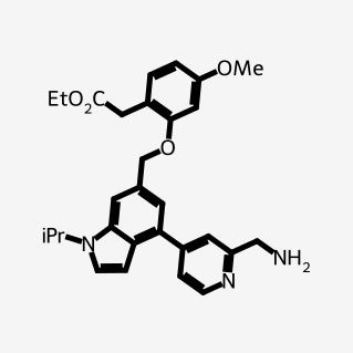 CCOC(=O)Cc1ccc(OC)cc1OCc1cc(-c2ccnc(CN)c2)c2ccn(C(C)C)c2c1